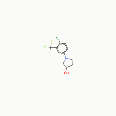 OC1CCN(c2ccc(Cl)c(C(F)(F)F)c2)C1